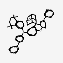 CC1(C)CCC(C)(C)c2cc(N(c3ccc(-c4ccccc4)cc3)c3ccc4c(c3)C3(c5cc(-c6ccccc6)ccc5O4)C4CC5CC6CC3C64C5)ccc21